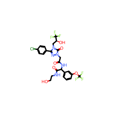 O=C(Cn1nc(-c2ccc(Cl)cc2)n(C[C@H](O)C(F)(F)F)c1=O)NC(C(=O)NCCO)c1cccc(OC(F)(F)F)c1